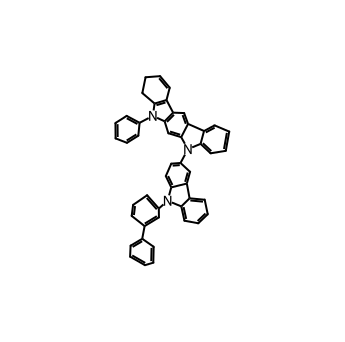 C1=Cc2c(n(-c3ccccc3)c3cc4c(cc23)c2ccccc2n4-c2ccc3c(c2)c2ccccc2n3-c2cccc(-c3ccccc3)c2)CC1